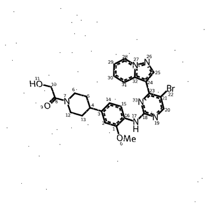 COc1cc(C2CCN(C(=O)CO)CC2)ccc1Nc1ncc(Br)c(-c2cnn3ccccc23)n1